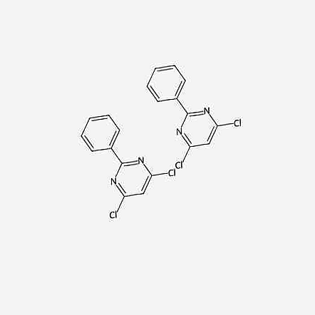 Clc1cc(Cl)nc(-c2ccccc2)n1.Clc1cc(Cl)nc(-c2ccccc2)n1